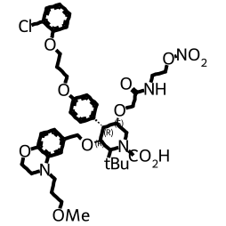 COCCCN1CCOc2ccc(CO[C@H]3C(C(C)(C)C)N(C(=O)O)C[C@@H](OCC(=O)NCCO[N+](=O)[O-])[C@H]3c3ccc(OCCCOc4ccccc4Cl)cc3)cc21